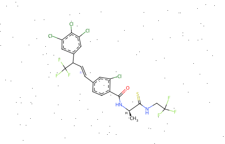 C[C@@H](NC(=O)c1ccc(/C=C/C(c2cc(Cl)c(Cl)c(Cl)c2)C(F)(F)F)cc1Cl)C(=S)NCC(F)(F)F